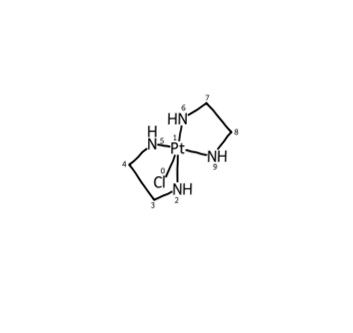 [Cl][Pt]12([NH]CC[NH]1)[NH]CC[NH]2